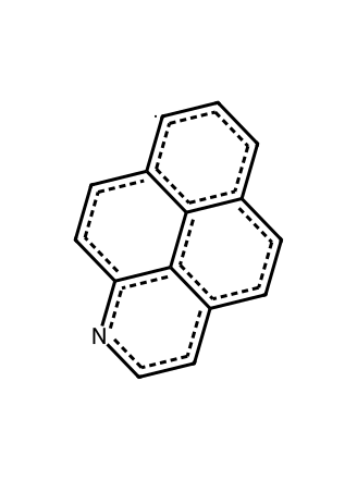 [c]1ccc2ccc3ccnc4ccc1c2c34